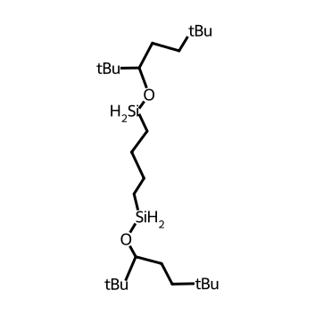 CC(C)(C)CCC(O[SiH2]CCCC[SiH2]OC(CCC(C)(C)C)C(C)(C)C)C(C)(C)C